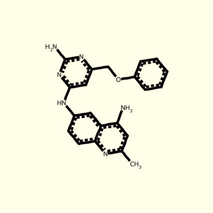 Cc1cc(N)c2cc(Nc3cc(COc4ccccc4)nc(N)n3)ccc2n1